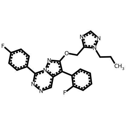 CCCn1ncnc1COc1nn2c(-c3ccc(F)cc3)nncc2c1-c1ccccc1F